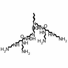 CCC=CCN(CCCCN(C)CC(O)CNC(=O)C(CCCNCCCN)NCCCN)CC(O)CNC(=O)C(CCCNCCCN)NCCCN